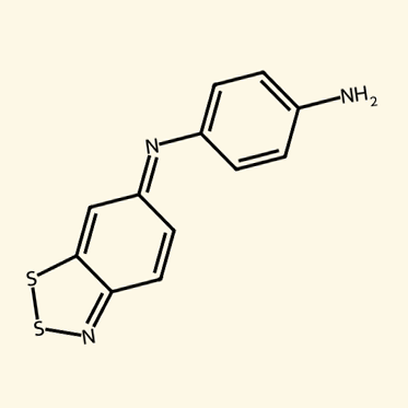 Nc1ccc(N=c2ccc3nssc-3c2)cc1